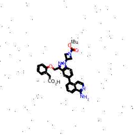 CC(C)(C)OC(=O)N1CC(n2nc(COc3ccccc3CC(=O)O)c3cc(-c4cccc5c(N)nccc45)ccc32)C1